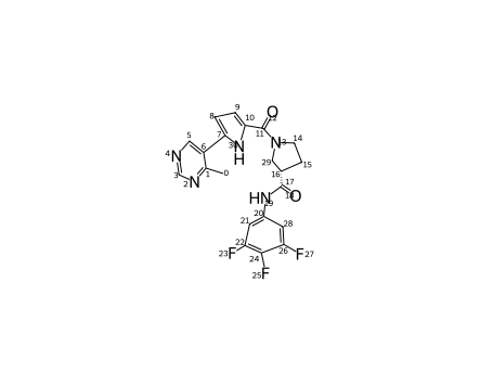 Cc1ncncc1-c1ccc(C(=O)N2CC[C@H](C(=O)Nc3cc(F)c(F)c(F)c3)C2)[nH]1